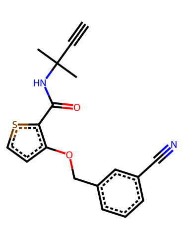 C#CC(C)(C)NC(=O)c1sccc1OCc1cccc(C#N)c1